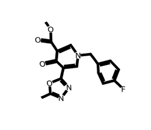 COC(=O)c1cn(Cc2ccc(F)cc2)cc(-c2nnc(C)o2)c1=O